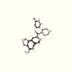 C[C@H]1COC[C@@H](c2ccc(Cl)nc2)N1C(=O)c1cc2c3c(c(N)nc2cn1)COC3